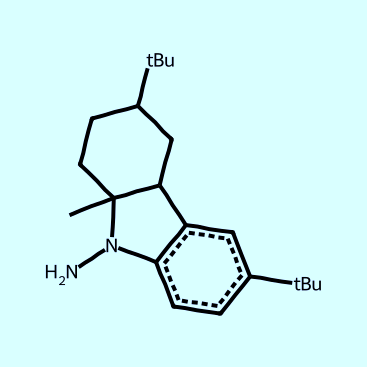 CC(C)(C)c1ccc2c(c1)C1CC(C(C)(C)C)CCC1(C)N2N